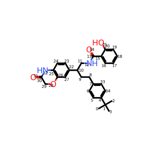 CC(C)(C)c1ccc(CCC(CNC(=O)c2ccccc2O)c2ccc3c(c2)OCC(=O)N3)cc1